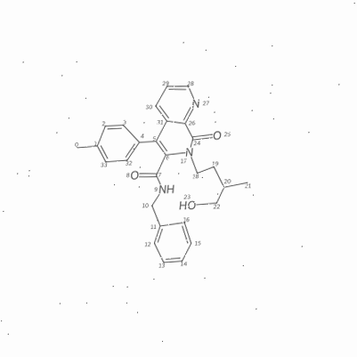 Cc1ccc(-c2c(C(=O)NCc3ccccc3)n(CCC(C)CO)c(=O)c3ncccc23)cc1